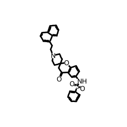 O=C1CC2(CCN(CCc3cccc4ccccc34)CC2)Oc2ccc(NS(=O)(=O)c3ccccc3)cc21